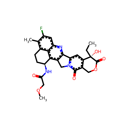 CC[C@@]1(O)C(=O)OCc2c1cc1n(c2=O)Cc2c-1nc1cc(F)c(C)c3c1c2[C@@H](NC(=O)COC)CC3